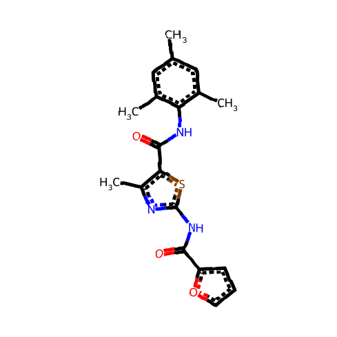 Cc1cc(C)c(NC(=O)c2sc(NC(=O)c3ccco3)nc2C)c(C)c1